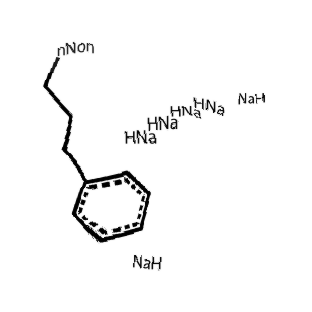 CCCCCCCCCCCCc1ccccc1.[NaH].[NaH].[NaH].[NaH].[NaH].[NaH]